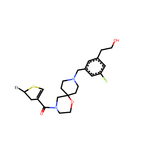 CCC1CC(C(=O)N2CCOC3(CCN(Cc4cc(F)cc(CCO)c4)CC3)C2)=CS1